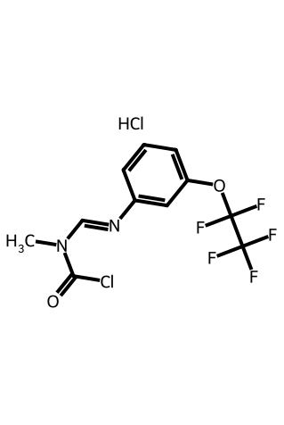 CN(C=Nc1cccc(OC(F)(F)C(F)(F)F)c1)C(=O)Cl.Cl